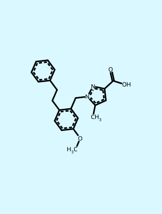 COc1ccc(CCc2ccccc2)c(Cn2nc(C(=O)O)cc2C)c1